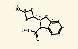 O=CC(=O)C1c2ccccc2CN1C1CC(O)C1